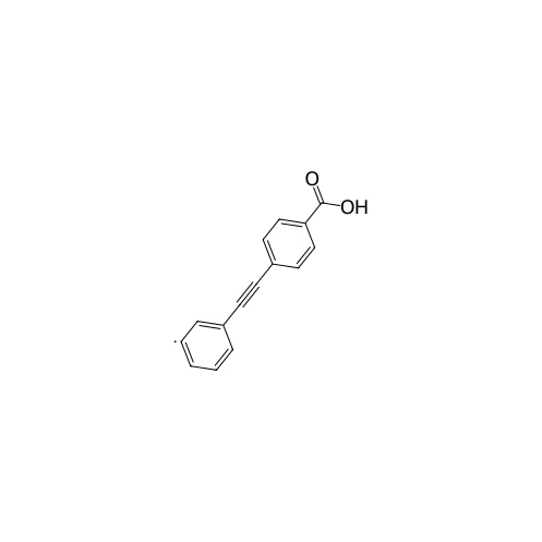 O=C(O)c1ccc(C#Cc2c[c]ccc2)cc1